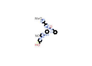 COc1ncc(-c2cnc(N(C(=O)NCc3ccccc3)[C@H]3CC[C@H](Nc4ncc(C#N)c(N5CCC(F)(CO)CC5)n4)CC3)nc2)cn1